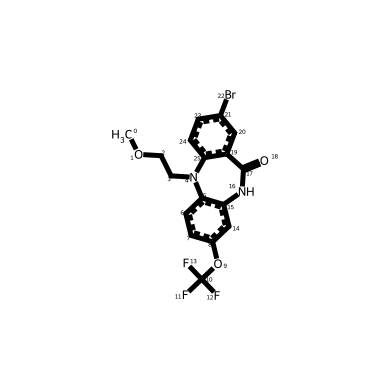 COCCN1c2ccc(OC(F)(F)F)cc2NC(=O)c2cc(Br)ccc21